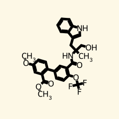 COC(=O)c1cc(OC)ccc1-c1ccc(OC(F)(F)F)c(C(=O)NC(C)(CO)Cc2c[nH]c3ccccc23)c1